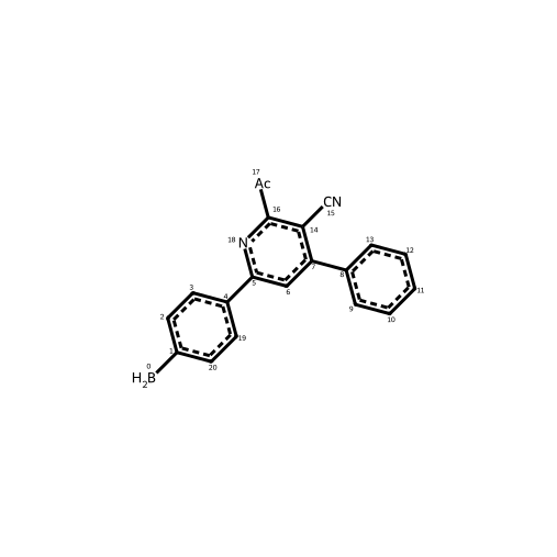 Bc1ccc(-c2cc(-c3ccccc3)c(C#N)c(C(C)=O)n2)cc1